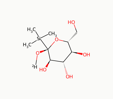 [2H]O[C@@]1([Si](C)(C)C)O[C@H](CO)[C@@H](O)[C@H](O)[C@H]1O